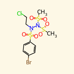 CS(=O)(=O)N(N(CCCl)S(=O)(=O)c1ccc(Br)cc1)S(C)(=O)=O